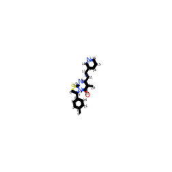 Cc1ccc(-c2csc3nc(/C=C/c4cccnc4)c(C)c(=O)n23)cc1